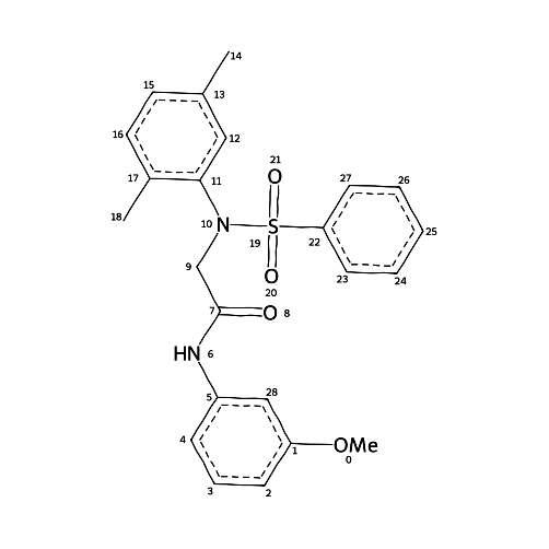 COc1cccc(NC(=O)CN(c2cc(C)ccc2C)S(=O)(=O)c2ccccc2)c1